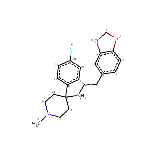 CN1CCC([SiH2]CCc2ccc3c(c2)OCO3)(c2ccc(F)cc2)CC1